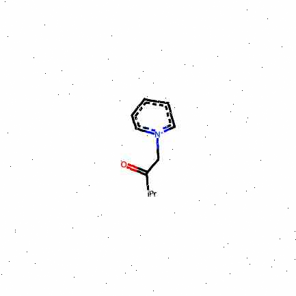 CC(C)C(=O)C[n+]1ccccc1